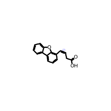 O=C(O)C/C=C\c1cccc2c1oc1ccccc12